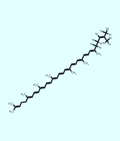 [2H]C(=C(C([2H])([2H])[2H])C([2H])([2H])[2H])C([2H])([2H])C([2H])([2H])/C(C)=C/C=C/C(C)=C/C=C/C(C)=C/C=C/C=C(C)/C=C/C=C(C)/C=C/C=C(\C)CCC=C(C)C